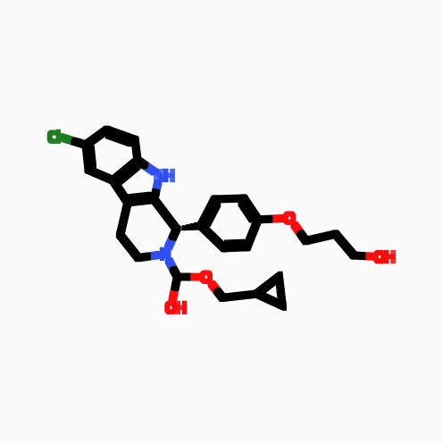 OCCCOc1ccc([C@H]2c3[nH]c4ccc(Cl)cc4c3CCN2C(O)OCC2CC2)cc1